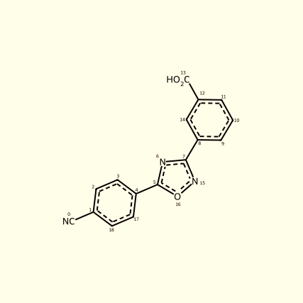 N#Cc1ccc(-c2nc(-c3cccc(C(=O)O)c3)no2)cc1